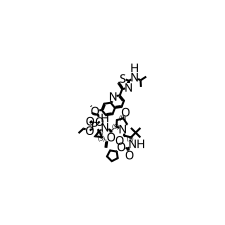 C=C[C@@H]1C[C@]1(NC(=O)[C@@H]1C[C@@H](Oc2cc(-c3csc(NC(C)C)n3)nc3cc(OC)ccc23)CN1C(=O)[C@@H](NC(=O)OC1CCCC1)C(C)(C)C)P(=O)(OCC)OCC